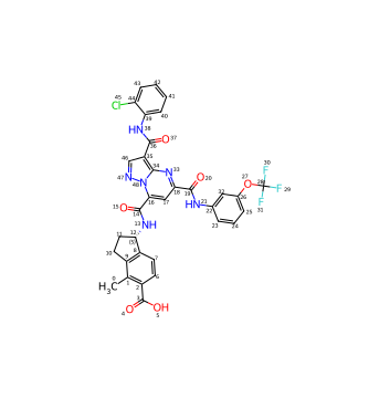 Cc1c(C(=O)O)ccc2c1CC[C@@H]2NC(=O)c1cc(C(=O)Nc2cccc(OC(F)(F)F)c2)nc2c(C(=O)Nc3ccccc3Cl)cnn12